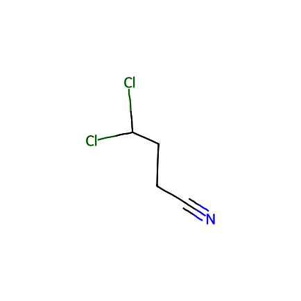 N#CCCC(Cl)Cl